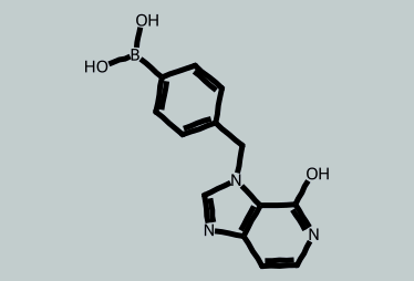 OB(O)c1ccc(Cn2cnc3ccnc(O)c32)cc1